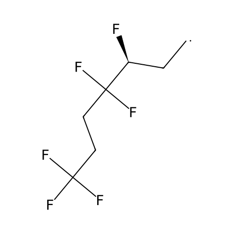 [CH2]C[C@H](F)C(F)(F)CCC(F)(F)F